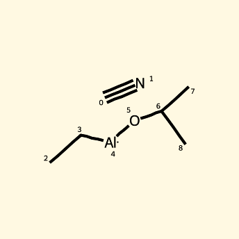 C#N.C[CH2][Al][O]C(C)C